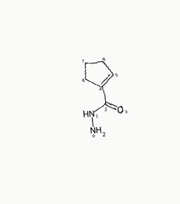 NNC(=O)C1=CCCC1